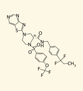 CCC(F)(F)c1ccc(CNC(=O)[C@H]2CN(c3nc4ncncc4s3)CCN2S(=O)(=O)c2ccc(OC(F)(F)F)cc2)cc1